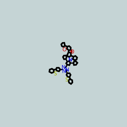 c1ccc(-c2cc(-c3nc(-c4ccc5c(c4)sc4ccccc45)nc(-c4ccc5c(c4)sc4ccccc45)n3)cc(-c3ccccc3)c2-n2c3ccccc3c3c4oc5ccc6c7ccccc7oc6c5c4ccc32)cc1